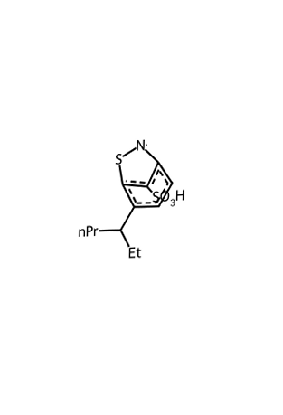 CCCC(CC)c1ccc2c(S(=O)(=O)O)c1S[N]2